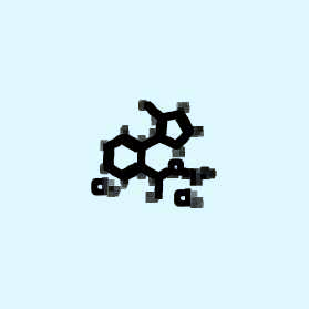 CC1=C(c2ccccc2C(C)[O][Ti+2])CC=C1.[Cl-].[Cl-]